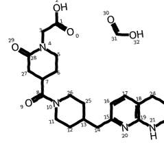 O=C(O)CN1CCC(C(=O)N2CCC(Cc3ccc4c(n3)NCCC4)CC2)CC1=O.O=CO